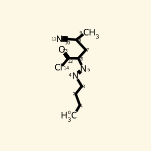 CCCC/N=N/C(CC(C)C#N)C(=O)Cl